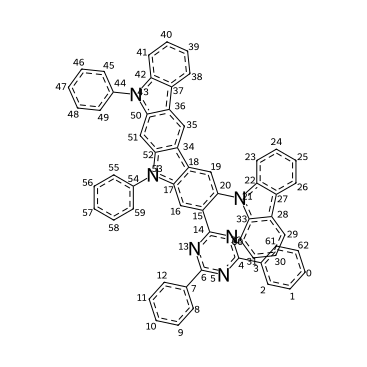 c1ccc(-c2nc(-c3ccccc3)nc(-c3cc4c(cc3-n3c5ccccc5c5ccccc53)c3cc5c6ccccc6n(-c6ccccc6)c5cc3n4-c3ccccc3)n2)cc1